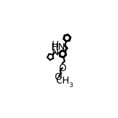 COCCOCCc1cc(NC2CCCC2)c2[nH]c(-c3ccccc3)cc2c1